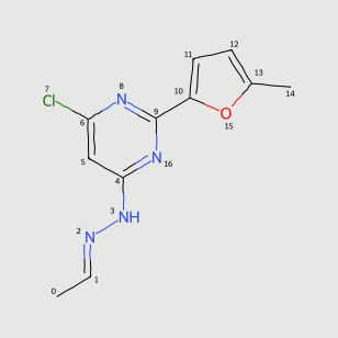 C/C=N/Nc1cc(Cl)nc(-c2ccc(C)o2)n1